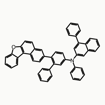 c1ccc(-c2cc(N(c3ccccc3)c3cc(-c4ccccc4)c4ccccc4c3)ccc2-c2ccc3c(ccc4oc5ccccc5c43)c2)cc1